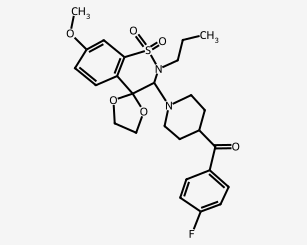 CCCN1C(N2CCC(C(=O)c3ccc(F)cc3)CC2)C2(OCCO2)c2ccc(OC)cc2S1(=O)=O